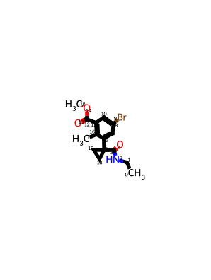 CCNC(=O)C1(c2cc(Br)cc(C(=O)OC)c2C)CC1